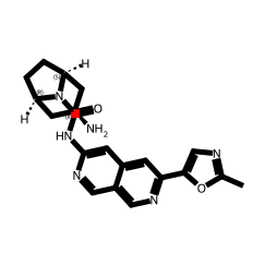 Cc1ncc(-c2cc3cc(NC(=O)N4[C@@H]5CC[C@H]4C[C@@H](N)C5)ncc3cn2)o1